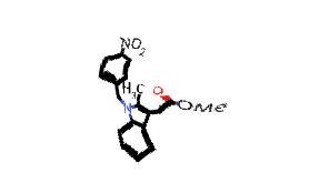 COC(=O)Cc1c(C)n(Cc2ccc([N+](=O)[O-])cc2)c2ccccc12